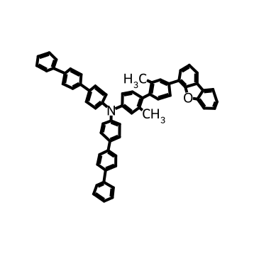 Cc1cc(-c2cccc3c2oc2ccccc23)ccc1-c1ccc(N(c2ccc(-c3ccc(-c4ccccc4)cc3)cc2)c2ccc(-c3ccc(-c4ccccc4)cc3)cc2)cc1C